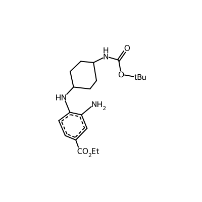 CCOC(=O)c1ccc(NC2CCC(NC(=O)OC(C)(C)C)CC2)c(N)c1